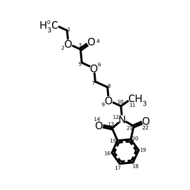 CCOC(=O)COCCOC(C)N1C(=O)c2ccccc2C1=O